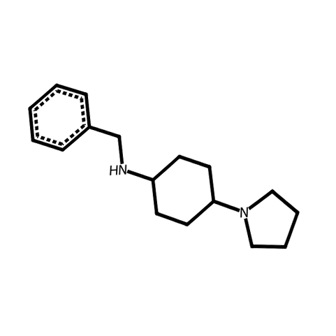 c1ccc(CNC2CCC(N3CCCC3)CC2)cc1